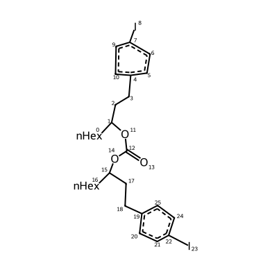 CCCCCCC(CCc1ccc(I)cc1)OC(=O)OC(CCCCCC)CCc1ccc(I)cc1